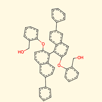 OCc1ccccc1Oc1ccc2cc(-c3ccccc3)ccc2c1-c1c(Oc2ccccc2CO)ccc2cc(-c3ccccc3)ccc12